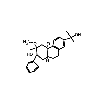 CC[C@@]12C[C@@](C)(ON)[C@](O)(c3ccccc3)C[C@H]1CCc1cc(C(C)(C)O)ccc12